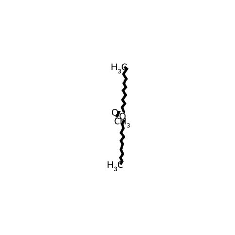 CC1CO1.CCCCCCCCCCCCOCCCCCCCCCCCC